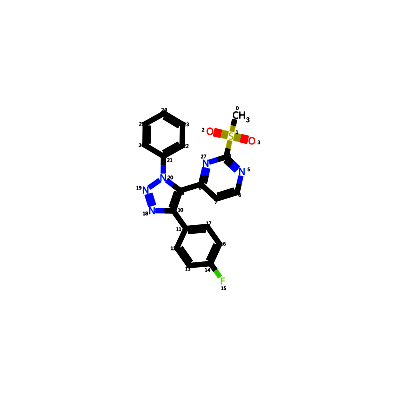 CS(=O)(=O)c1nccc(-c2c(-c3ccc(F)cc3)nnn2-c2ccccc2)n1